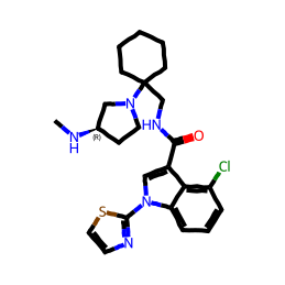 CN[C@@H]1CCN(C2(CNC(=O)c3cn(-c4nccs4)c4cccc(Cl)c34)CCCCC2)C1